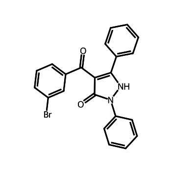 O=C(c1cccc(Br)c1)c1c(-c2ccccc2)[nH]n(-c2ccccc2)c1=O